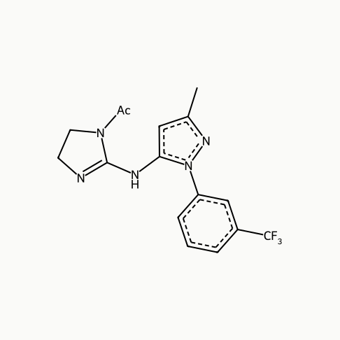 CC(=O)N1CCN=C1Nc1cc(C)nn1-c1cccc(C(F)(F)F)c1